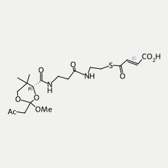 COC1(CC(C)=O)OCC(C)(C)[C@H](C(=O)NCCC(=O)NCCSC(=O)/C=C/C(=O)O)O1